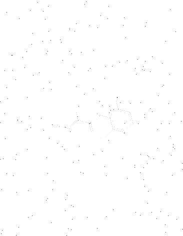 Cc1cccc(Cl)c1NC(=O)/C(S)=C/N